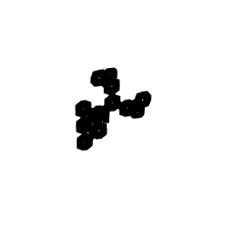 c1ccc(-c2cccc(-c3nc(-c4cc(-c5ccc6oc7ccccc7c6c5)cc(-c5ccc6oc7ccccc7c6c5)c4)cc(-c4ccccc4-c4cccnc4)n3)c2)cc1